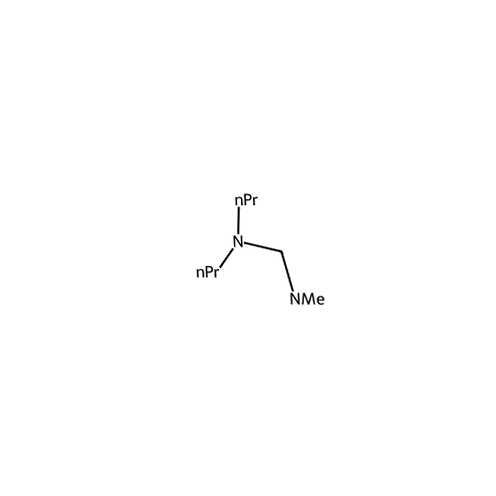 CCCN(CCC)CNC